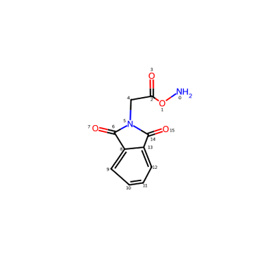 NOC(=O)CN1C(=O)c2ccccc2C1=O